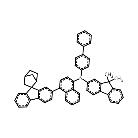 CC1(C)c2ccccc2-c2ccc(N(c3ccc(-c4ccccc4)cc3)c3ccc(-c4ccc5c(c4)C4(CC6CCC4C6)c4ccccc4-5)c4ccccc34)cc21